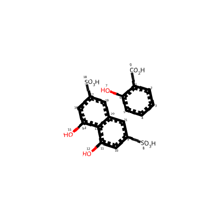 O=C(O)c1ccccc1O.O=S(=O)(O)c1cc(O)c2c(O)cc(S(=O)(=O)O)cc2c1